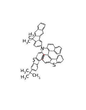 CC(C)(C)c1ccc2c(c1)sc1cc(N(c3ccc4c(c3)-c3cc5ccccc5cc3C4(C)C)c3ccc4ccccc4c3-c3cccc4sc5ccccc5c34)ccc12